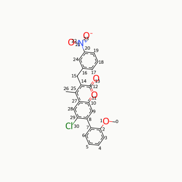 COc1ccccc1-c1cc2oc(=O)c(Cc3cccc([N+](=O)[O-])c3)c(C)c2cc1Cl